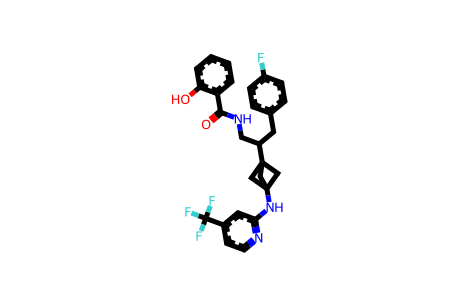 O=C(NCC(Cc1ccc(F)cc1)C12CC(Nc3cc(C(F)(F)F)ccn3)(C1)C2)c1ccccc1O